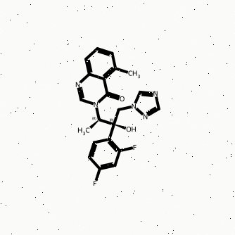 Cc1cccc2ncn([C@H](C)[C@](O)(Cn3cncn3)c3ccc(F)cc3F)c(=O)c12